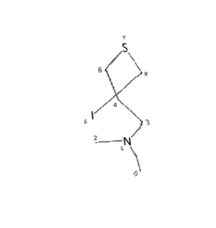 CN(C)CC1(I)CSC1